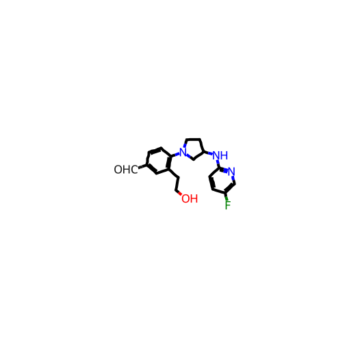 O=Cc1ccc(N2CCC(Nc3ccc(F)cn3)C2)c(CCO)c1